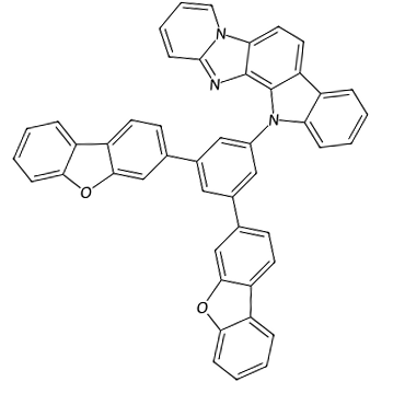 c1ccc2c(c1)oc1cc(-c3cc(-c4ccc5c(c4)oc4ccccc45)cc(-n4c5ccccc5c5ccc6c(nc7ccccn76)c54)c3)ccc12